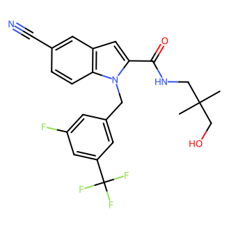 CC(C)(CO)CNC(=O)c1cc2cc(C#N)ccc2n1Cc1cc(F)cc(C(F)(F)F)c1